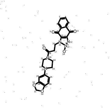 O=C1c2ccccc2C(=O)c2c1n[n+]([O-])n2CCC(=O)N1CCN(c2ccc3c(c2)OCO3)CC1